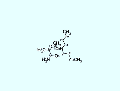 C=C(C)C(N)=O.CCCCN(CC)CCCC